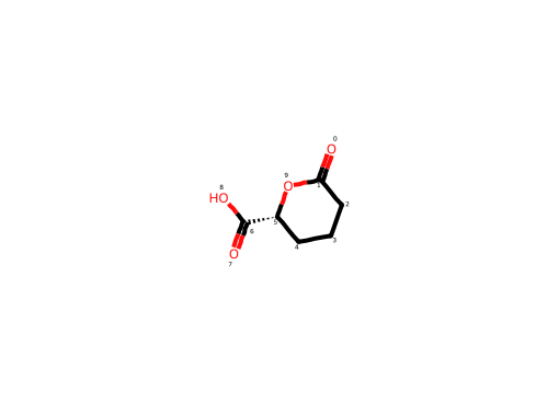 O=C1CCC[C@H](C(=O)O)O1